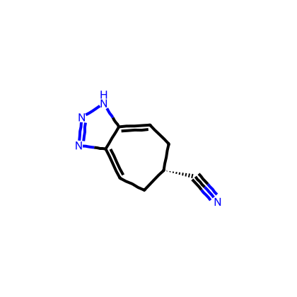 N#C[C@@H]1CC=c2nn[nH]c2=CC1